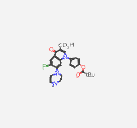 CN1CCN(c2cc3c(cc2F)c(=O)c(C(=O)O)cn3-c2ccc(OC(=O)C(C)(C)C)cc2)CC1